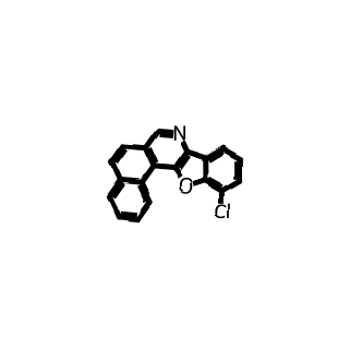 Clc1cccc2c1oc1c2ncc2ccc3ccccc3c21